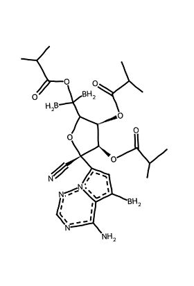 Bc1cc([C@]2(C#N)OC(C(B)(B)OC(=O)C(C)C)[C@@H](OC(=O)C(C)C)[C@H]2OC(=O)C(C)C)n2ncnc(N)c12